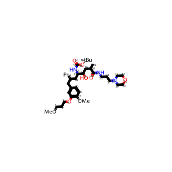 COCCCOc1cc(CC(CC(NC(=O)OC(C)(C)C)C(O)CC(C)C(=O)NCCCN2CCOCC2)C(C)C)ccc1OC